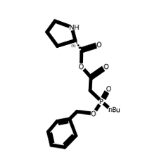 CCCCP(=O)(CC(=O)OC(=O)[C@@H]1CCCN1)OCc1ccccc1